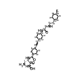 NC[C@H](NC(=O)c1ccc(C#Cc2ccc(NC(=O)CNCCc3ccc(F)cc3)cc2)cc1)C(=O)NO